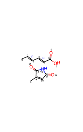 C/C=C/C=C/C(=O)O.CC1=CC(=O)NC1=O